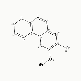 CC(C)Oc1nc2c3c(ccc2nc1C(C)C)CCC=C3